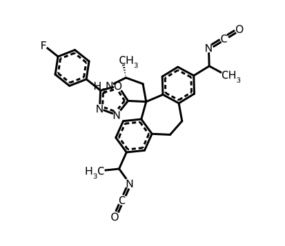 CC(N=C=O)c1ccc2c(c1)CCc1cc(C(C)N=C=O)ccc1C2(C[C@@H](C)N)c1nnc(-c2ccc(F)cc2)o1